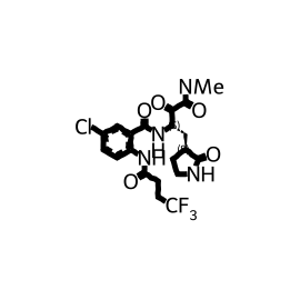 CNC(=O)C(=O)[C@H](C[C@@H]1CCNC1=O)NC(=O)c1cc(Cl)ccc1NC(=O)CCC(F)(F)F